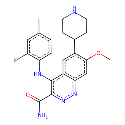 COc1cc2nnc(C(N)=O)c(Nc3ccc(C)cc3F)c2cc1C1CCNCC1